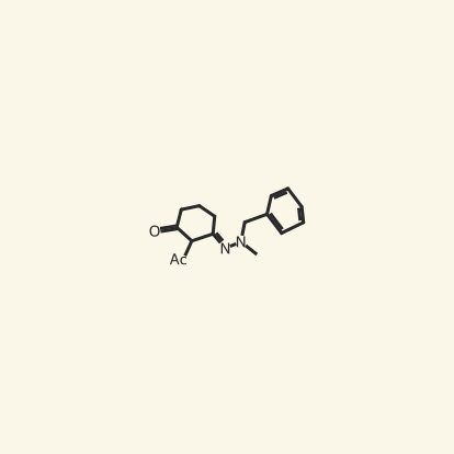 CC(=O)C1C(=O)CCCC1=NN(C)Cc1ccccc1